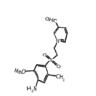 COc1cc(S(=O)(=O)CC[n+]2cccc(C=O)c2)c(C)cc1N